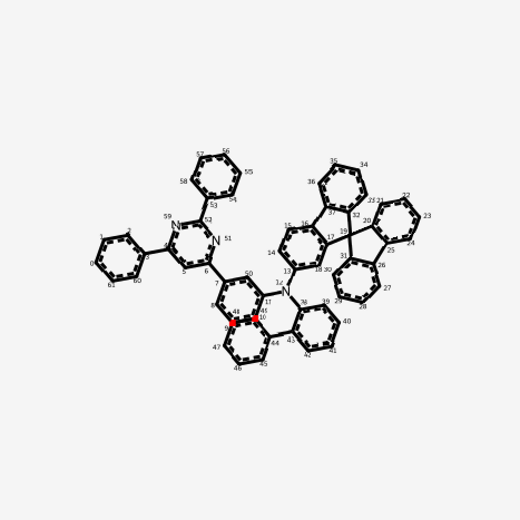 c1ccc(-c2cc(-c3cccc(N(c4ccc5c(c4)C4(c6ccccc6-c6ccccc64)c4ccccc4-5)c4ccccc4-c4ccccc4)c3)nc(-c3ccccc3)n2)cc1